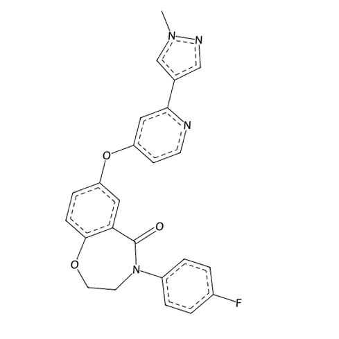 Cn1cc(-c2cc(Oc3ccc4c(c3)C(=O)N(c3ccc(F)cc3)CCO4)ccn2)cn1